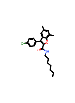 CCCCCCCNC(=O)c1oc2c(C)cc(C)cc2c1-c1ccc(Cl)cc1